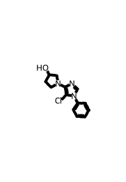 OC1CCN(c2ncn(-c3ccccc3)c2Cl)C1